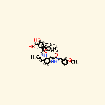 COc1cccc(CNC(=O)c2cc3cc(C[C@@H](C)NC[C@H](O[Si](C)(C)C(C)(C)C)c4ccc(O)c(CO)c4)ccc3[nH]2)c1